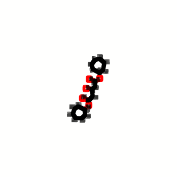 O=C(CC(=O)OC1CCCCCC1)CC(=O)OC1CCCCCC1